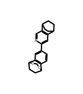 c1cc2c(cc1-c1cc3c(cn1)C1CCC3CC1)C1CCCC2CC1